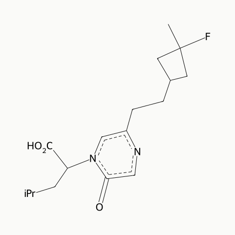 CC(C)CC(C(=O)O)n1cc(CCC2CC(C)(F)C2)ncc1=O